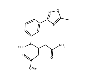 COC(=O)CC(CC(N)=O)N(C=O)c1cccc(-c2noc(C)n2)c1